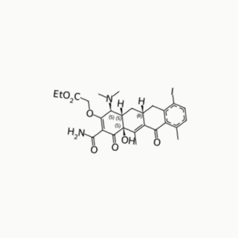 CCOC(=O)COC1=C(C(N)=O)C(=O)[C@@]2(O)C(C)=C3C(=O)c4c(C)ccc(I)c4C[C@H]3C[C@H]2[C@@H]1N(C)C